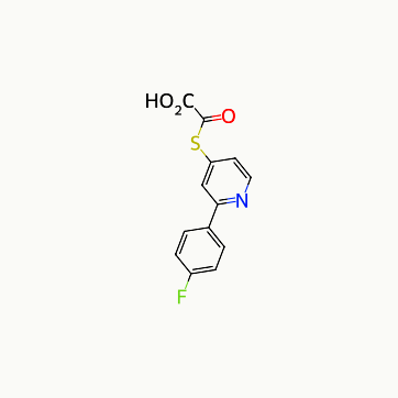 O=C(O)C(=O)Sc1ccnc(-c2ccc(F)cc2)c1